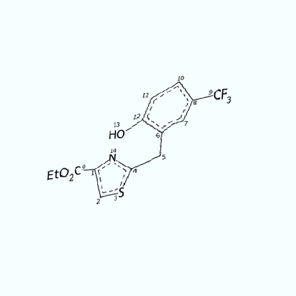 CCOC(=O)c1csc(Cc2cc(C(F)(F)F)ccc2O)n1